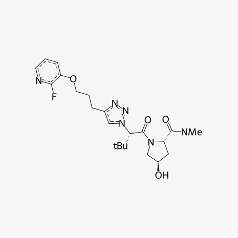 CNC(=O)[C@@H]1C[C@@H](O)CN1C(=O)[C@@H](n1cc(CCCOc2cccnc2F)nn1)C(C)(C)C